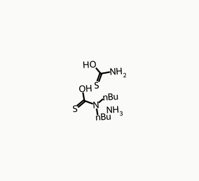 CCCCN(CCCC)C(O)=S.N.NC(O)=S